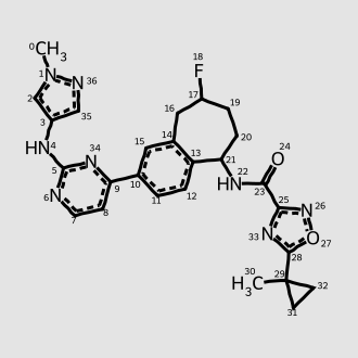 Cn1cc(Nc2nccc(-c3ccc4c(c3)CC(F)CCC4NC(=O)c3noc(C4(C)CC4)n3)n2)cn1